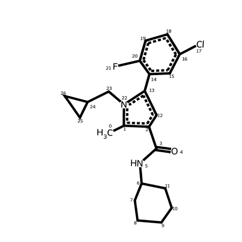 Cc1c(C(=O)NC2CCCCC2)cc(-c2cc(Cl)ccc2F)n1CC1CC1